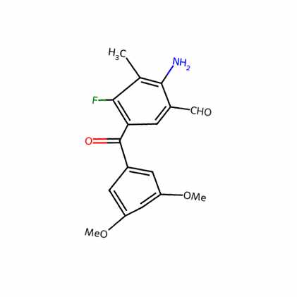 COc1cc(OC)cc(C(=O)c2cc(C=O)c(N)c(C)c2F)c1